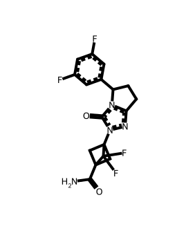 NC(=O)C12CC(n3nc4n(c3=O)C(c3cc(F)cc(F)c3)CC4)(C1)C2(F)F